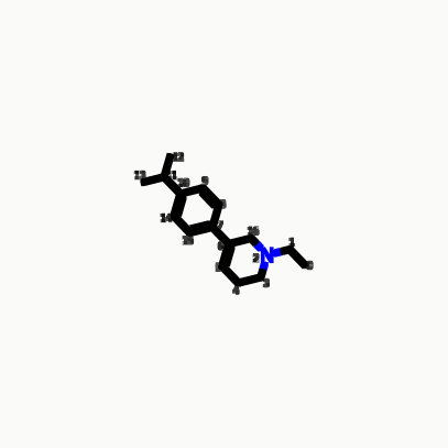 CCN1CCC=C(c2ccc(C(C)C)cc2)C1